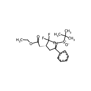 CCOC(=O)C[C@@H](C/C(=N/[S+]([O-])C(C)(C)C)c1ccccc1)C(F)(F)F